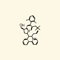 C=CCC1C(C2C/C(=C/O)c3cc(-c4c(C)cccc4C)c(CC(C)(C)C)c[n+]32)c2ccccc2-c2cccc[n+]21